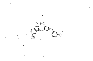 Cl.N#Cc1ccc2ccn(CC3CCN(Cc4cccc(Cl)c4)C3)c2c1